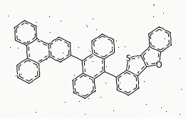 c1ccc2c(c1)oc1c3cccc(-c4c5ccccc5c(-c5ccc6c7ccccc7c7ccccc7c6c5)c5ccccc45)c3sc21